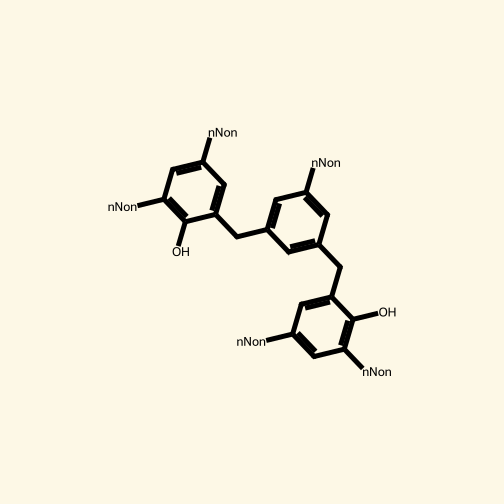 CCCCCCCCCc1cc(Cc2cc(CCCCCCCCC)cc(CCCCCCCCC)c2O)[c]c(Cc2cc(CCCCCCCCC)cc(CCCCCCCCC)c2O)c1